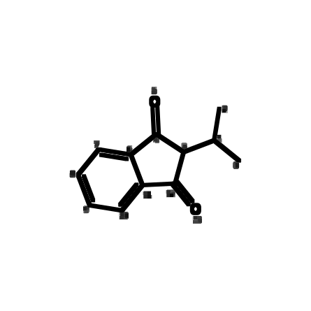 CC(C)C1C(=O)c2ccccc2C1=O